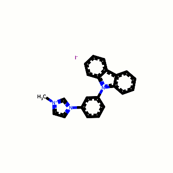 C[n+]1ccn(-c2cccc(-n3c4ccccc4c4ccccc43)c2)c1.[I-]